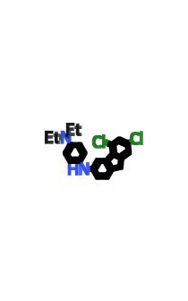 CCN(CC)c1ccc(Nc2ccc3c(c2)-c2c(Cl)cc(Cl)cc2C3)cc1